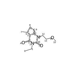 CCn1c(=O)c2c(C)csc2n(CCOC)c1=O